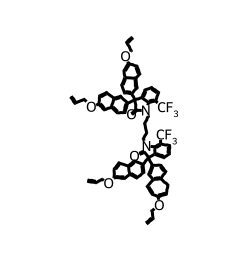 C=CCOC1=CCc2ccc(C3(c4ccc5cc(OCC=C)ccc5c4)C(=O)N(CCCCN4C(=O)C(c5ccc6cc(OCC=C)ccc6c5)(c5ccc6cc(OCC=C)ccc6c5)c5cccc(C(F)(F)F)c54)c4c(C(F)(F)F)cccc43)cc2C=C1